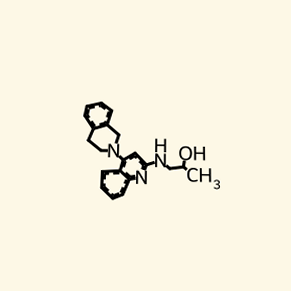 CC(O)CNc1cc(N2CCc3ccccc3C2)c2ccccc2n1